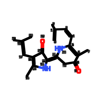 C=C(C)/C=C\C1=C(C)C(=O)C/C(=C2\NC(C)=C(C=C(C)C)C2=O)N1